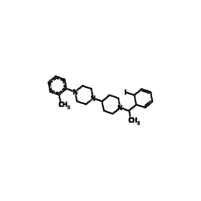 Cc1ccccc1N1CCN(C2CCN(C(C)C3C=CC=CC3I)CC2)CC1